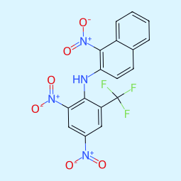 O=[N+]([O-])c1cc([N+](=O)[O-])c(Nc2ccc3ccccc3c2[N+](=O)[O-])c(C(F)(F)F)c1